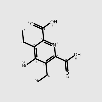 CCc1c(C(=O)O)nc(C(=O)O)c(CC)c1Br